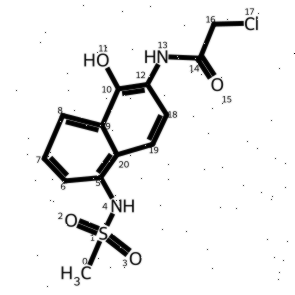 CS(=O)(=O)Nc1cccc2c(O)c(NC(=O)CCl)ccc12